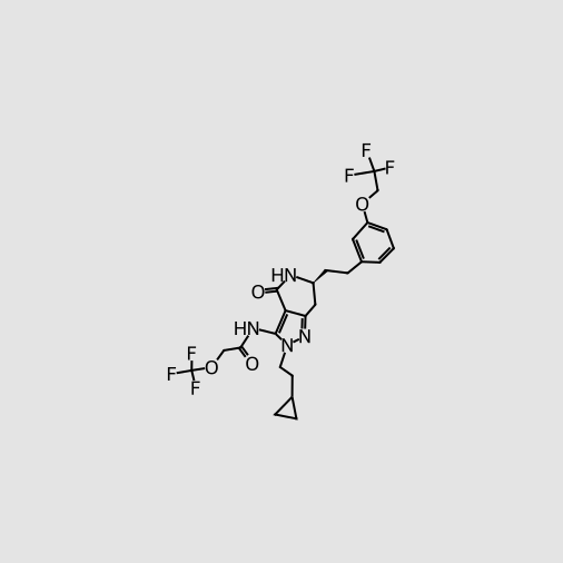 O=C(COC(F)(F)F)Nc1c2c(nn1CCC1CC1)C[C@H](CCc1cccc(OCC(F)(F)F)c1)NC2=O